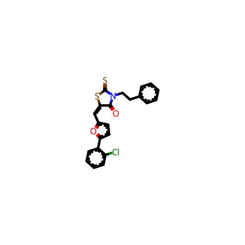 O=C1/C(=C\c2ccc(-c3ccccc3Cl)o2)SC(=S)N1CCc1ccccc1